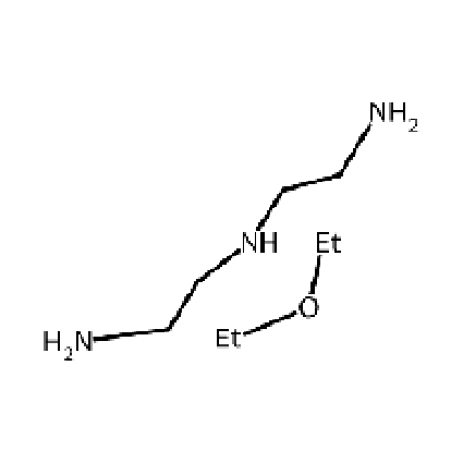 CCOCC.NCCNCCN